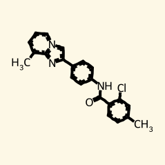 Cc1ccc(C(=O)Nc2ccc(-c3cn4cccc(C)c4n3)cc2)c(Cl)c1